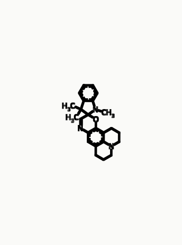 CN1c2ccccc2C(C)(C)C12C=Nc1cc3c4c(c1O2)CCCN4CCC3